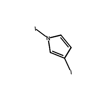 Ic1ccn(I)c1